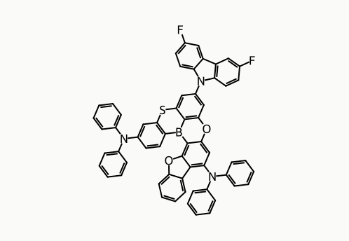 Fc1ccc2c(c1)c1cc(F)ccc1n2-c1cc2c3c(c1)Sc1cc(N(c4ccccc4)c4ccccc4)ccc1B3c1c(cc(N(c3ccccc3)c3ccccc3)c3c1oc1ccccc13)O2